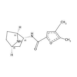 Cc1cc(C(=O)N[C@@H]2C[C@H]3CC[C@@H]2N3)oc1C